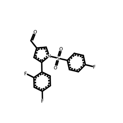 O=Cc1cc(-c2ccc(F)cc2F)n(S(=O)(=O)c2ccc(F)cc2)c1